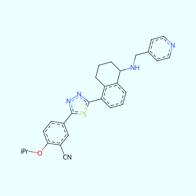 CC(C)Oc1ccc(-c2nnc(-c3cccc4c3CCCC4NCc3ccncc3)s2)cc1C#N